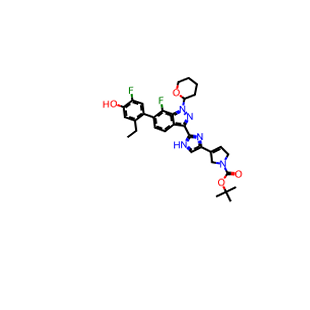 CCc1cc(O)c(F)cc1-c1ccc2c(-c3nc(C4=CCN(C(=O)OC(C)(C)C)C4)c[nH]3)nn(C3CCCCO3)c2c1F